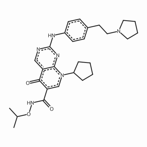 CC(C)ONC(=O)c1cn(C2CCCC2)c2nc(Nc3ccc(CCN4CCCC4)cc3)ncc2c1=O